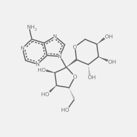 Nc1ncnc2c1ncn2[C@]1(C2OC[C@@H](O)[C@@H](O)[C@@H]2O)O[C@H](CO)[C@@H](O)[C@H]1O